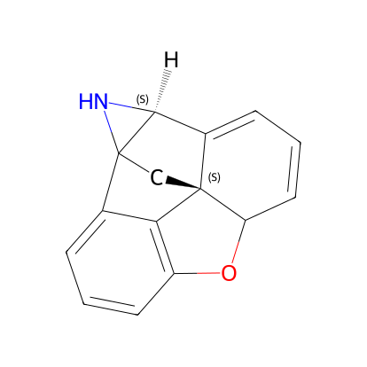 C1=CC2Oc3cccc4c3[C@@]23CC42N[C@H]2C3=C1